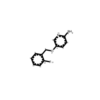 Bc1ccc(OCc2ccccc2F)cn1